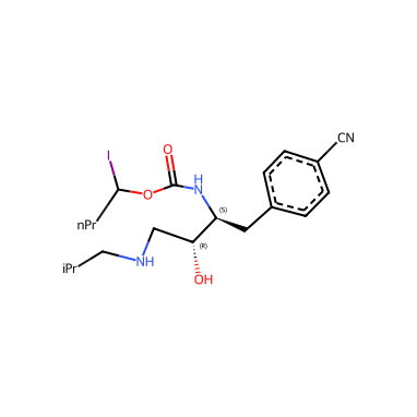 CCCC(I)OC(=O)N[C@@H](Cc1ccc(C#N)cc1)[C@H](O)CNCC(C)C